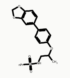 CCCS(=O)(=O)NCC(C)Oc1ccc(-c2ccc3c(c2)OCO3)cc1